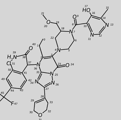 CCc1c(N2CCN(C(=O)c3ncnc(C)c3O)C(COC)C2)c(=O)n2nc(C3=CCOCC3)nc2n1C(C(N)=O)c1ccc(C(F)(F)F)cc1Cl